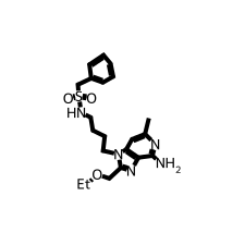 CCOCc1nc2c(N)nc(C)cc2n1CCCCNS(=O)(=O)Cc1ccccc1